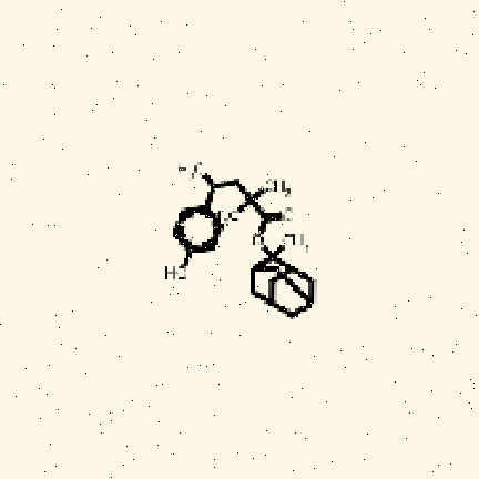 CC(CC(C)(C)C(=O)OC1(C)C2CC3CC(C2)CC1C3)c1ccc(O)cc1